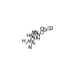 COc1cc(N(C)CCN(C)C)c(N)cc1Nc1cc(Nc2ccc(OCC3CCOCC3)c(Cl)c2)ncn1